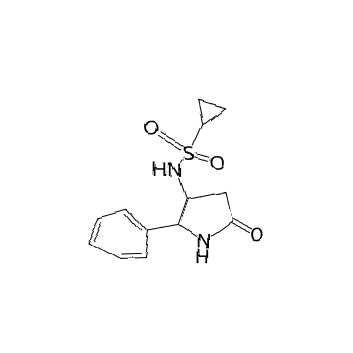 O=C1CC(NS(=O)(=O)C2CC2)C(c2ccccc2)N1